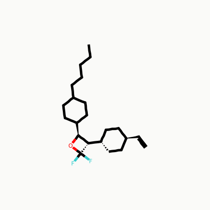 C=C[C@H]1CC[C@H]([C@H]2[C@H](C3CCC(CCCCC)CC3)OC2(F)F)CC1